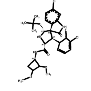 COC1C[C@@H](NC(=O)[C@@H]2N[C@H](CC(C)(C)C)[C@]3(C(=O)Nc4cc(Cl)ccc43)[C@H]2C2C=CC=C(Cl)C2F)C1OC